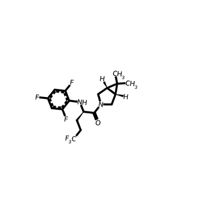 CC1(C)[C@@H]2CN(C(=O)[C@@H](CCC(F)(F)F)Nc3c(F)cc(F)cc3F)C[C@@H]21